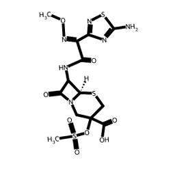 CON=C(C(=O)NC1C(=O)N2CC(OS(C)(=O)=O)(C(=O)O)CS[C@H]12)c1nsc(N)n1